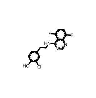 Oc1ccc(CCNc2ncnc3c(F)ccc(F)c23)cc1Cl